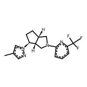 Cc1cnn([C@H]2CC[C@@H]3CN(c4cccc(C(F)(F)F)n4)C[C@@H]32)c1